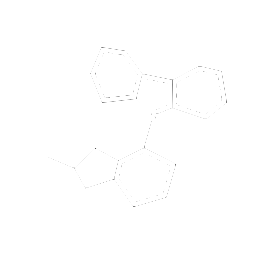 CC1Cc2cccc(-n3c4ccccc4c4ccccc43)c2C1